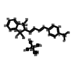 CN(C)c1ccc(C=CC=CC2N(C)c3ccccc3C2(C)C)cc1.[O-][Cl+3]([O-])([O-])O